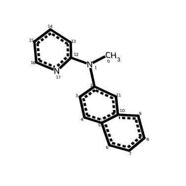 CN(c1ccc2ccccc2c1)c1ccccn1